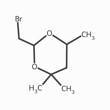 CC1CC(C)(C)OC(CBr)O1